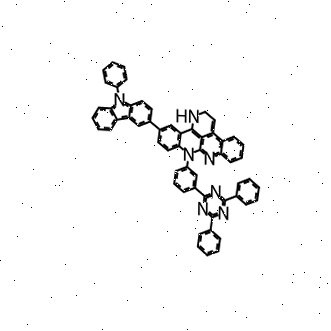 C1=c2c3c(nc4ccccc24)N(c2cccc(-c4nc(-c5ccccc5)nc(-c5ccccc5)n4)c2)c2ccc(-c4ccc5c(c4)c4ccccc4n5-c4ccccc4)cc2C=3NC1